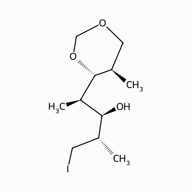 C[C@H]([C@@H](O)[C@H](C)CI)[C@@H]1OCOC[C@H]1C